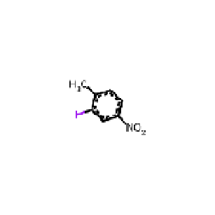 Cc1ccc([N+](=O)[O-])cc1I